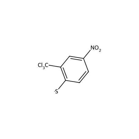 O=[N+]([O-])c1ccc([S])c(C(Cl)(Cl)Cl)c1